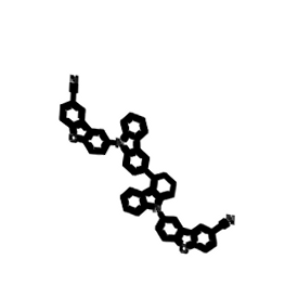 N#Cc1ccc2oc3ccc(-n4c5c(c6ccccc64)=C(c4ccc6c(c4)c4ccccc4n6-c4ccc6oc7ccc(C#N)cc7c6c4)CCC=5)cc3c2c1